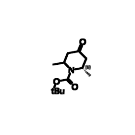 CC1CC(=O)C[C@H](C)N1C(=O)OC(C)(C)C